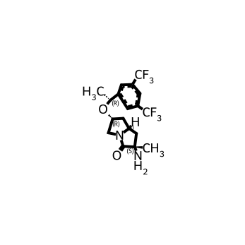 C[C@@H](O[C@@H]1C[C@@H]2C[C@](C)(N)C(=O)N2C1)c1cc(C(F)(F)F)cc(C(F)(F)F)c1